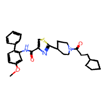 COc1ccc(-c2ccccc2)c(NC(=O)c2csc(C3CCN(C(=O)CCC4CCCC4)CC3)n2)c1